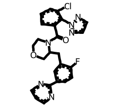 O=C(c1cccc(Cl)c1-n1nccn1)N1CCOCC1Cc1cc(-c2ncccn2)ccc1F